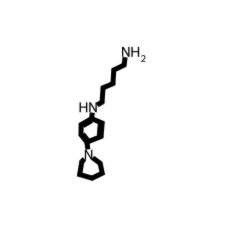 NCCCCCNc1ccc(N2CCCCC2)cc1